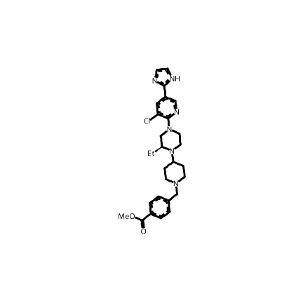 CC[C@H]1CN(c2ncc(-c3ncc[nH]3)cc2Cl)CCN1C1CCN(Cc2ccc(C(=O)OC)cc2)CC1